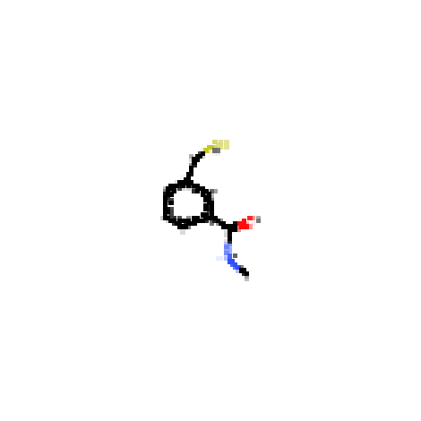 CNC(=O)c1cccc(CS)c1